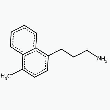 Cc1ccc(CCCN)c2ccccc12